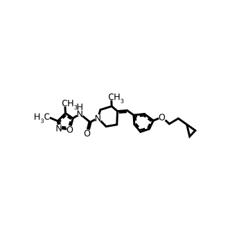 Cc1noc(NC(=O)N2CCC(=Cc3cccc(OCCC4CC4)c3)C(C)C2)c1C